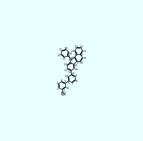 Brc1cccc(-c2cccc(-c3ccc4c(c3)c3ccc5ccccc5c3n4-c3ccccc3)c2)c1